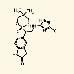 Cc1c[nH]c(NCC(c2ccc3c(c2)CC(=O)N3)P2(=O)OCC(C)(C)CO2)n1